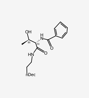 CCCCCCCCCCCCNC(=O)[C@@H](NC(=O)c1ccccc1)[C@@H](C)O